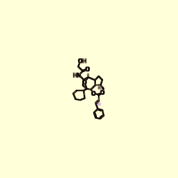 C[C@@H]1CCC2C1C(OC(=O)/C=C/c1ccccc1)C1(C3CCCCC3)CC(NC(=O)CO)C2(C)O1